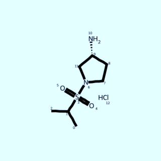 CC(C)S(=O)(=O)N1CC[C@@H](N)C1.Cl